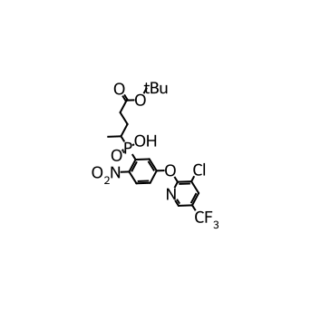 CC(CCC(=O)OC(C)(C)C)P(=O)(O)c1cc(Oc2ncc(C(F)(F)F)cc2Cl)ccc1[N+](=O)[O-]